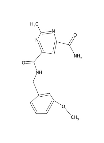 COc1cccc(CNC(=O)c2cc(C(N)=O)nc(C)n2)c1